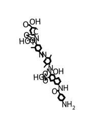 Cc1cc(N=Nc2c(S(=O)(=O)O)cc3cc(NC(=O)c4ccc(N)cc4)ccc3c2O)c(C)cc1N=Nc1ccc(N=Nc2ccc(C(=O)O)cc2S(=O)(=O)O)c(C)c1